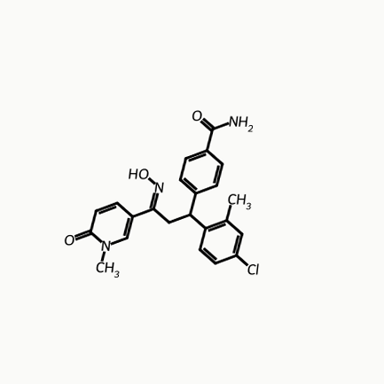 Cc1cc(Cl)ccc1C(CC(=NO)c1ccc(=O)n(C)c1)c1ccc(C(N)=O)cc1